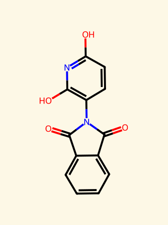 O=C1c2ccccc2C(=O)N1c1ccc(O)nc1O